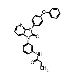 C=CC(=O)Nc1cccc(-n2c(=O)n(-c3ccc(Oc4ccccc4)cc3)c3ncccc32)c1